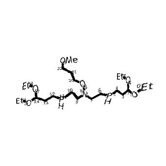 CCOC(CCPCCN(CCPCCC(OCC)OCC)OCCCOC)OCC